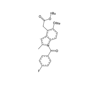 CCCCOC(=O)Cc1c(OC)ccc2c1[c]c(C)n2C(=O)c1ccc(F)cc1